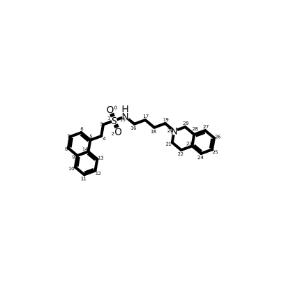 O=S(=O)(CCc1cccc2ccccc12)NCCCCN1CCc2ccccc2C1